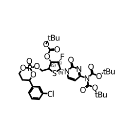 CC(C)(C)OC(=O)O[C@@H]1C(COP2(=O)OCCC(c3cccc(Cl)c3)O2)S[C@@H](n2ccc(N(C(=O)OC(C)(C)C)C(=O)OC(C)(C)C)nc2=O)[C@H]1F